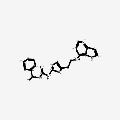 CC(NC(=O)Nc1ncc(CCNc2ncnc3ccsc23)s1)c1ccccc1